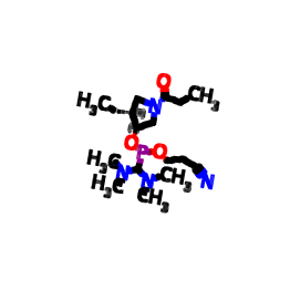 CCC(=O)N1C[C@@H](CC)[C@@H](OP(OCCC#N)C(N(C)C)N(C)C)C1